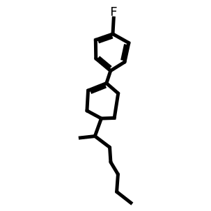 CCCCCC(C)C1CC=C(c2ccc(F)cc2)CC1